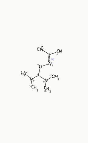 [C-]#[N+]/C(C#N)=N\OC(N(C)C)N(C)C